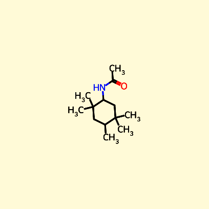 CC(=O)NC1CC(C)(C)C(C)CC1(C)C